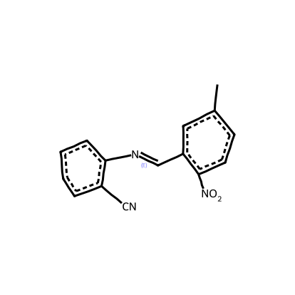 Cc1ccc([N+](=O)[O-])c(/C=N/c2ccccc2C#N)c1